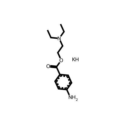 CCN(CC)CCOC(=O)c1ccc(N)cc1.[KH]